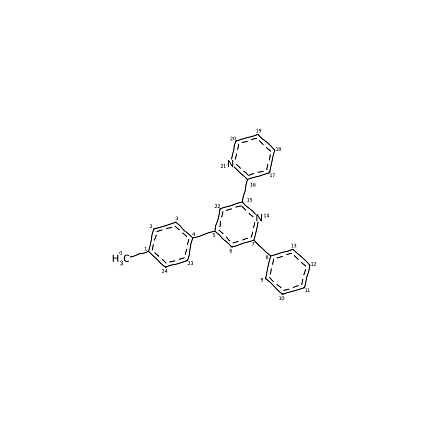 Cc1ccc(-c2cc(-c3ccccc3)nc(-c3ccccn3)c2)cc1